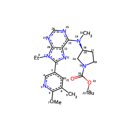 CCn1c(-c2cnc(OC)c(C)c2)nc2c(N(C)[C@H]3CCN(C(=O)OC(C)(C)C)C3)ncnc21